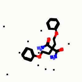 NC(=O)C(CCOc1ccccc1)(CCOc1ccccc1)C(N)=O